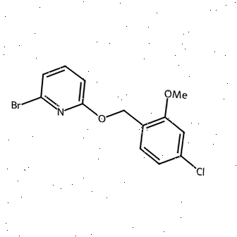 COc1cc(Cl)ccc1COc1cccc(Br)n1